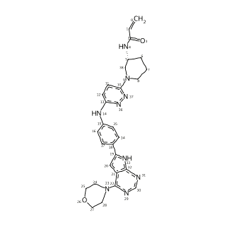 C=CC(=O)N[C@@H]1CCCN(c2ccc(Nc3ccc(-c4cc5c(N6CCOCC6)ncnc5[nH]4)cc3)nn2)C1